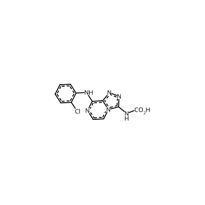 O=C(O)Nc1nnc2c(Nc3ccccc3Cl)nccn12